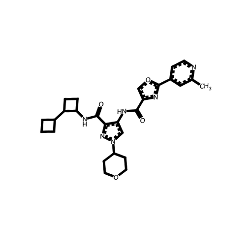 Cc1cc(-c2nc(C(=O)Nc3cn(C4CCOCC4)nc3C(=O)NC3CCC3C3CCC3)co2)ccn1